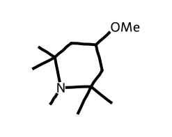 COC1CC(C)(C)N(C)C(C)(C)C1